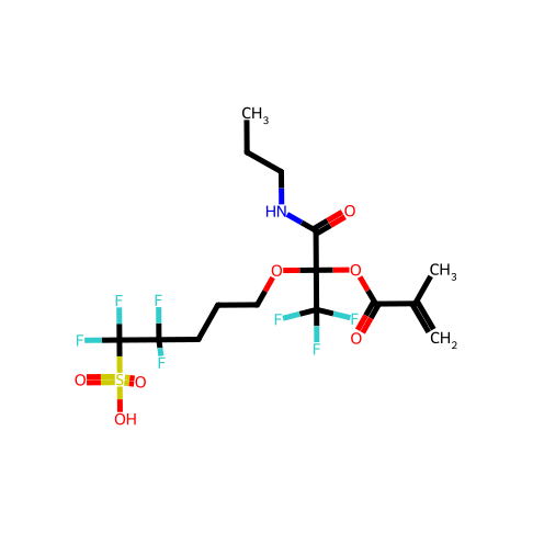 C=C(C)C(=O)OC(OCCCC(F)(F)C(F)(F)S(=O)(=O)O)(C(=O)NCCC)C(F)(F)F